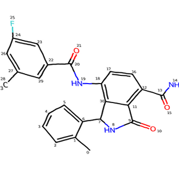 Cc1ccccc1C1NC(=O)c2c(C(N)=O)ccc(NC(=O)c3cc(F)cc(C(F)(F)F)c3)c21